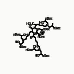 CCCCCCCCCCC(C)CN(CCCCC(C(=O)O)N(C(=O)C(CCCCN(CC(O)CCCCCCCCCC)CC(O)CCCCCCCCCC)NC(=O)CCCCCN(CC(O)CCCCCCCCCC)CC(O)CCCCCCCCCC)N(CC(O)CCCCCCCCCC)CC(O)CCCCCCCCCC)CC(O)CCCCCCCCCC